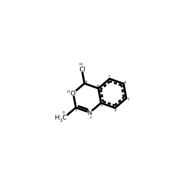 CC1=Nc2ccccc2C(Cl)O1